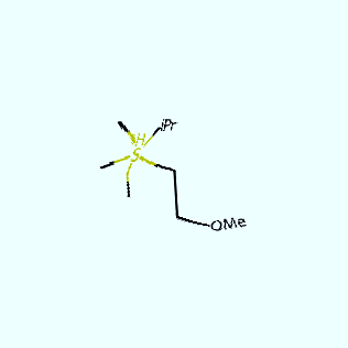 COCC[SH](C)(C)(C)C(C)C